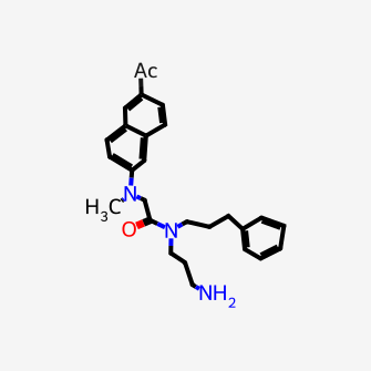 CC(=O)c1ccc2cc(N(C)CC(=O)N(CCCN)CCCc3ccccc3)ccc2c1